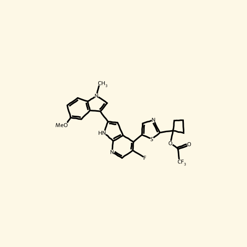 COc1ccc2c(c1)c(-c1cc3c(-c4cnc(C5(OC(=O)C(F)(F)F)CCC5)s4)c(F)cnc3[nH]1)cn2C